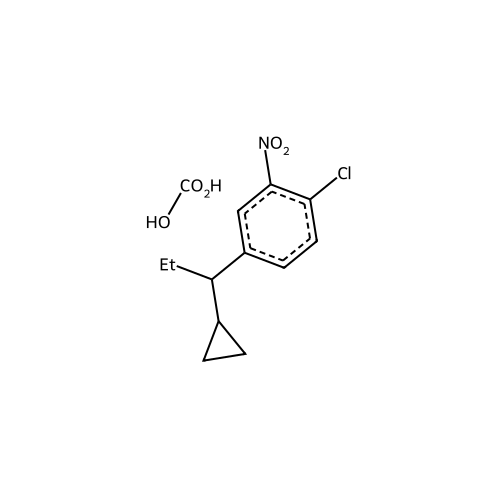 CCC(c1ccc(Cl)c([N+](=O)[O-])c1)C1CC1.O=C(O)O